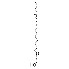 CCCCOCCCCCCCCCCOCCO